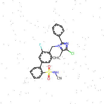 N#CNS(=O)(=O)c1ccccc1-c1ccc(Cn2c(-c3ccccc3)nc(Cl)c2C=O)c(F)c1